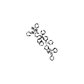 c1ccc(-n2c3ccccc3n3c4cc(S(c5ccccc5)(c5ccccc5)c5cccc([Si](c6ccccc6)(c6ccccc6)c6ccc7c(c6)n6c8ccccc8nc6n7-c6ccccc6)c5)ccc4nc23)cc1